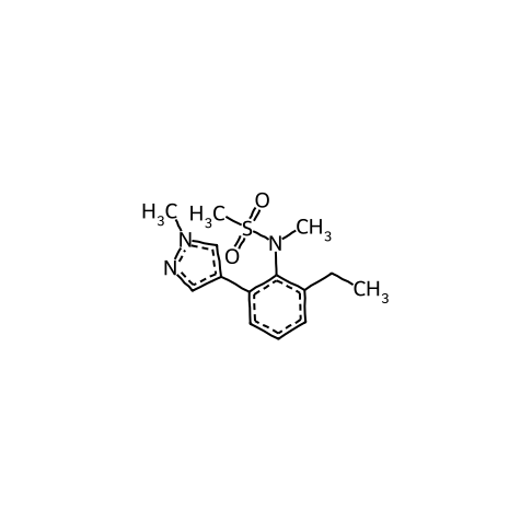 CCc1cccc(-c2cnn(C)c2)c1N(C)S(C)(=O)=O